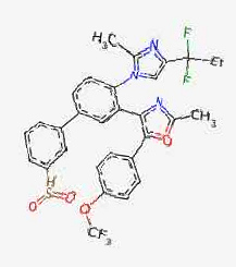 CCC(F)(F)c1cn(-c2ccc(-c3cccc([SH](=O)=O)c3)cc2-c2nc(C)oc2-c2ccc(OC(F)(F)F)cc2)c(C)n1